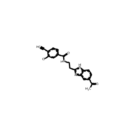 C#Cc1ccc(C(=O)NCCc2nc3cc(C(C)=O)ccc3[nH]2)cc1Cl